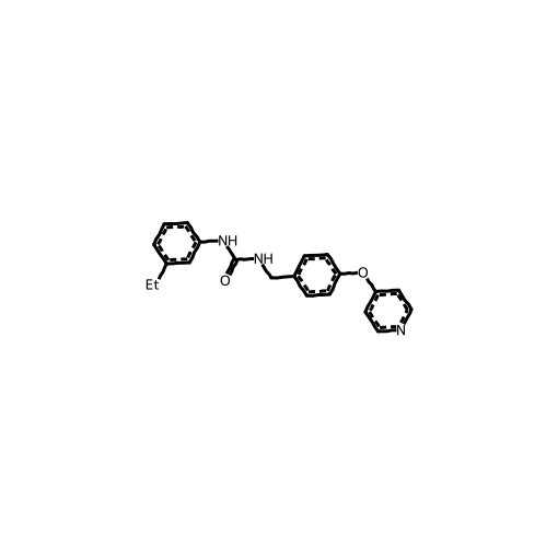 CCc1cccc(NC(=O)NCc2ccc(Oc3ccncc3)cc2)c1